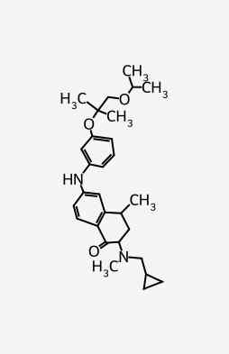 CC(C)OCC(C)(C)Oc1cccc(Nc2ccc3c(c2)C(C)CC(N(C)CC2CC2)C3=O)c1